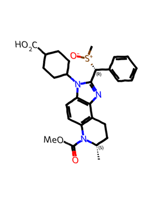 COC(=O)N1c2ccc3c(nc([C@@H](c4ccccc4)[S+](C)[O-])n3C3CCC(C(=O)O)CC3)c2CC[C@@H]1C